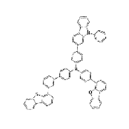 c1ccc(-n2c3ccccc3c3ccc(-c4ccc(N(c5ccc(-c6cccc(-c7cccc8c7sc7ccccc78)c6)cc5)c5ccc(-c6cccc7c6oc6ccccc67)cc5)cc4)cc32)cc1